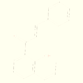 C/C=C\c1cccc(C(=O)/C=C/c2ccccc2)c1O